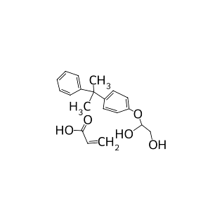 C=CC(=O)O.CC(C)(c1ccccc1)c1ccc(OC(O)CO)cc1